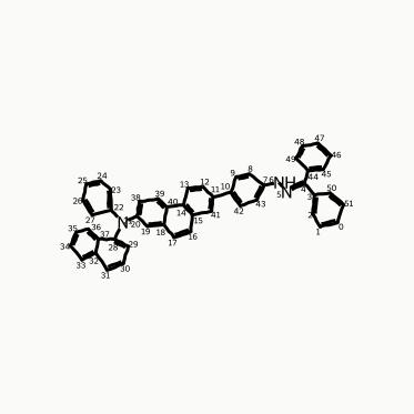 c1ccc(C(=NNc2ccc(-c3ccc4c(ccc5cc(N(c6ccccc6)c6cccc7ccccc67)ccc54)c3)cc2)c2ccccc2)cc1